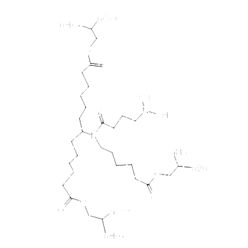 CCCCCCCCC(CCCCCC)COC(=O)CCCCCC(CCCCCC(=O)OCC(CCCCCC)CCCCCCCC)N(CCCCCC(=O)OCC(CCCC)CCCCCC)C(=O)CCCN(C)C